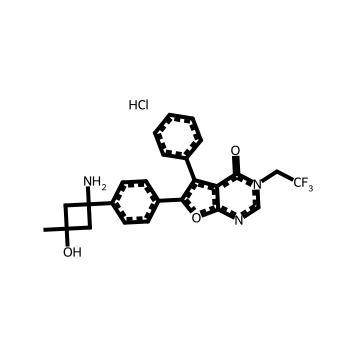 CC1(O)CC(N)(c2ccc(-c3oc4ncn(CC(F)(F)F)c(=O)c4c3-c3ccccc3)cc2)C1.Cl